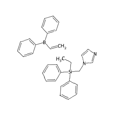 C=CB(c1ccccc1)c1ccccc1.CC[Si](Cn1ccnc1)(c1ccccc1)c1ccccc1